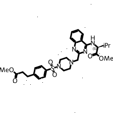 COC(=O)CCc1ccc(S(=O)(=O)N2CCN(Cc3nc(N[C@H](C(=O)OC)C(C)C)c4ccccc4n3)CC2)cc1